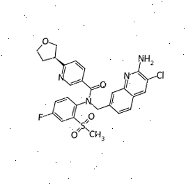 CS(=O)(=O)c1cc(F)ccc1N(Cc1ccc2cc(Cl)c(N)nc2c1)C(=O)c1ccc([C@H]2CCOC2)nc1